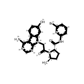 C[C@@H]1CC[C@@H](C(=O)Nc2cccc(Br)n2)N1C(=O)Cn1c2cc(O)ccc2c2c(N)ncnc21